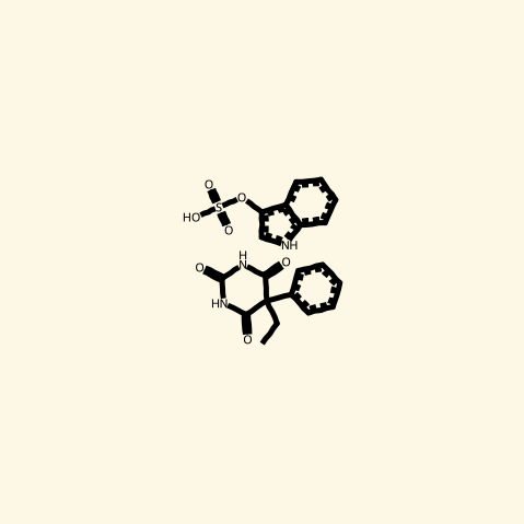 CCC1(c2ccccc2)C(=O)NC(=O)NC1=O.O=S(=O)(O)Oc1c[nH]c2ccccc12